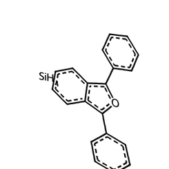 [SiH4].c1ccc(-c2oc(-c3ccccc3)c3ccccc23)cc1